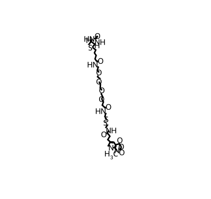 Cn1c(=O)oc(=O)c2cc(CCC(=O)NCCSSCCNC(=O)CCOCCOCCOCCOCCNC(=O)CCCCC3SC[C@@H]4NC(=O)N[C@H]34)cnc21